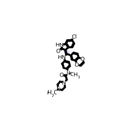 CN1CCN(CC(=O)N(C)c2ccc(N/C(=C3\C(=O)Nc4cc(Cl)ccc43)c3ccc4c(c3)OC=CO4)cc2)CC1